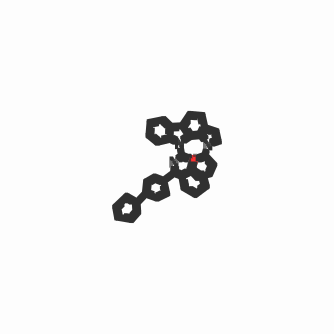 c1ccc(-c2ccc(-c3nc(-n4c5ccccc5c5ccc6ccn(-c7ccccc7)c6c54)nc4ccccc34)cc2)cc1